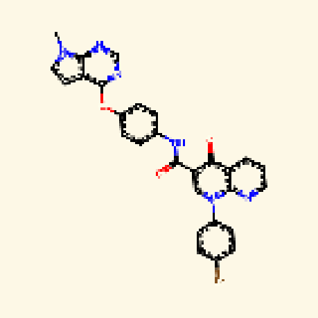 Cn1ccc2c(Oc3ccc(NC(=O)c4cn(-c5ccc(Br)cc5)c5ncccc5c4=O)cc3)ncnc21